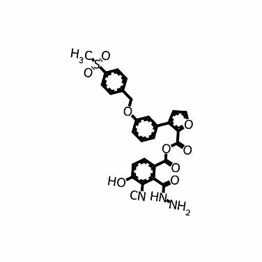 CS(=O)(=O)c1ccc(COc2cccc(-c3ccoc3C(=O)OC(=O)c3ccc(O)c(C#N)c3C(=O)NN)c2)cc1